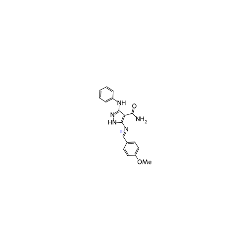 COc1ccc(/C=N/c2[nH]nc(Nc3ccccc3)c2C(N)=O)cc1